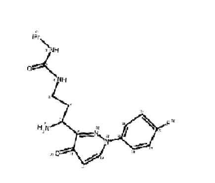 CC(C)NC(=O)NCCC(N)c1nn(-c2ccc(F)cc2)ccc1=O